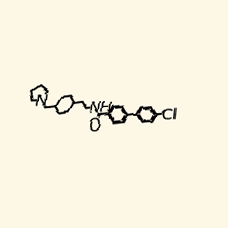 O=C(NCCC1CCC(CN2CCCC2)CC1)c1ccc(-c2ccc(Cl)cc2)cc1